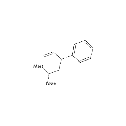 C=CC(CC(OC)OC)c1ccccc1